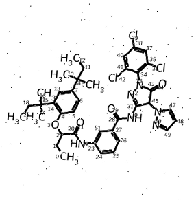 CCC(Oc1ccc(C(C)(C)CC)cc1C(C)(C)CC)C(=O)Nc1cccc(C(=O)NC2=NN(c3c(Cl)cc(Cl)cc3Cl)C(=O)C2n2cccn2)c1